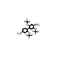 Nc1ccc(-c2cc(OC(F)(F)F)c(N)cc2OC(F)(F)F)c(OC(F)(F)F)c1